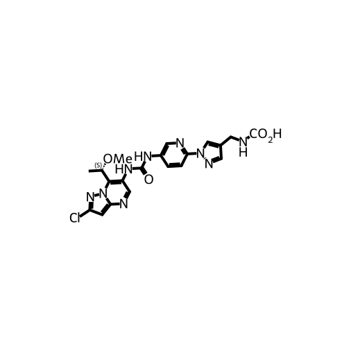 CO[C@@H](C)c1c(NC(=O)Nc2ccc(-n3cc(CNC(=O)O)cn3)nc2)cnc2cc(Cl)nn12